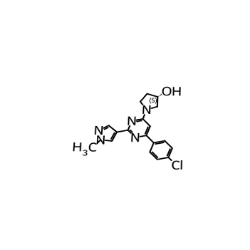 Cn1cc(-c2nc(-c3ccc(Cl)cc3)cc(N3CC[C@H](O)C3)n2)cn1